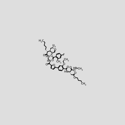 CBOC(=O)[C@H](CC(=O)OCCCC)NC(=O)c1ccc(-c2ccc(C(=O)NCNC(=O)[C@H](CCCCC)[C@@H](CC)N(C=O)OC(=O)c3ccc(F)cc3C)o2)cc1OCC